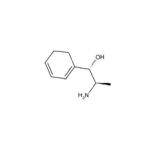 C[C@@H](N)[C@@H](O)C1=CC=CCC1